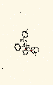 CCC(C)(C)c1nncn1N1CC2CC[C@H](C1)N2CCCN(C(=O)Nc1ccc(C)cc1)c1ccccc1